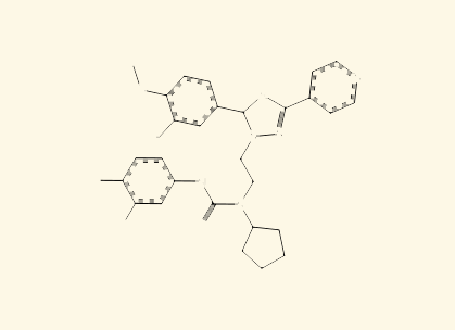 COc1ccc(C2NC(c3ccncc3)=NN2CCN(C(=O)Nc2ccc(F)c(F)c2)C2CCCC2)cc1Cl